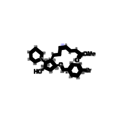 COC(=O)CC/C=C\CC[C@@H]1[C@@H](N2CCCCC2)[C@@H](O)C[C@H]1OCc1ccc(Br)cc1